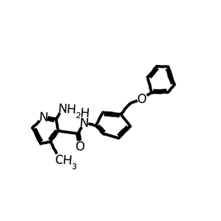 Cc1ccnc(N)c1C(=O)Nc1cccc(COc2ccccc2)c1